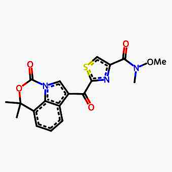 CON(C)C(=O)c1csc(C(=O)c2cn3c4c(cccc24)C(C)(C)OC3=O)n1